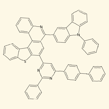 c1ccc(-c2ccc(-c3cc(-c4cc5c(-c6ccc7c(c6)c6ccccc6n7-c6ccccc6)nc6ccccc6c5c5c4sc4ccccc45)nc(-c4ccccc4)n3)cc2)cc1